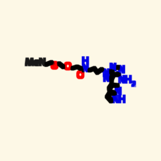 CNCCOCCOCCC(=O)NCCCCn1nc(-c2cnc3[nH]ccc3c2)c2c(N)ncnc21